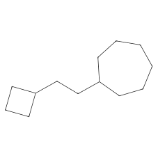 C1CCCC(CCC2CCC2)CC1